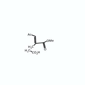 CC(=O)O.COC(=O)C(C)=CC(C)=O